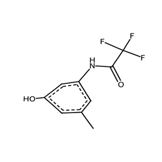 Cc1cc(O)cc(NC(=O)C(F)(F)F)c1